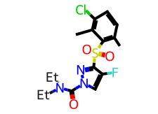 CCN(CC)C(=O)n1cc(F)c(S(=O)(=O)c2c(C)ccc(Cl)c2C)n1